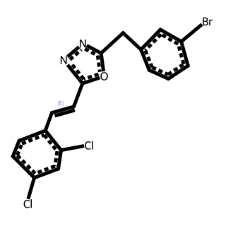 Clc1ccc(/C=C/c2nnc(Cc3cccc(Br)c3)o2)c(Cl)c1